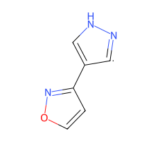 [c]1n[nH]cc1-c1ccon1